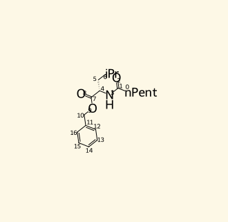 CCCCCC(=O)N[C@@H](CC(C)C)C(=O)OCc1ccccc1